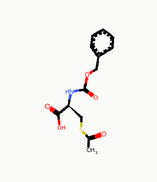 CC(=O)SC[C@H](NC(=O)OCc1ccccc1)C(=O)O